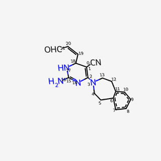 N#CC1=C(N2CCc3ccccc3CC2)N=C(N)NC1/C=C\C=O